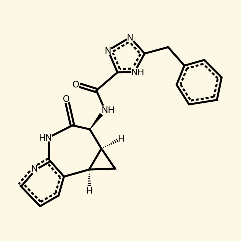 O=C(N[C@@H]1C(=O)Nc2ncccc2[C@@H]2C[C@H]12)c1nnc(Cc2ccccc2)[nH]1